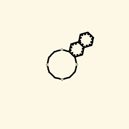 c1ccc2cc3c(cc2c1)OCCOCCOCCO3